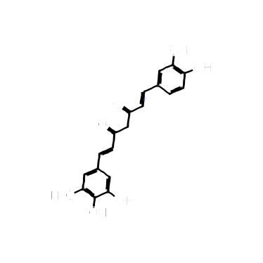 Cc1cc(/C=C/C(=O)CC(=O)/C=C/c2ccc(O)c(O)c2)cc(O)c1O